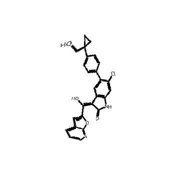 O=C1Nc2cc(Cl)c(-c3ccc(C4(CO)CC4)cc3)cc2C1=C(O)c1cc2cccnc2o1